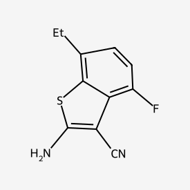 CCc1ccc(F)c2c(C#N)c(N)sc12